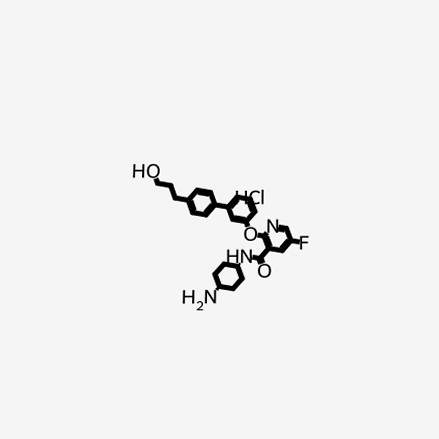 Cl.N[C@H]1CC[C@H](NC(=O)c2cc(F)cnc2Oc2cccc(-c3ccc(CCCO)cc3)c2)CC1